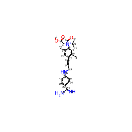 COC(=O)C[N+](C=O)(c1cc(C)c(C#CCNc2ccc(C(=N)N)cc2)cc1C)C(C)C